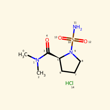 CN(C)C(=O)[C@@H]1CCCN1S(N)(=O)=O.Cl